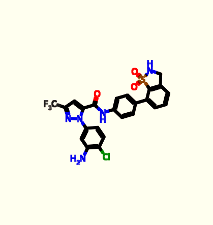 Nc1cc(-n2nc(C(F)(F)F)cc2C(=O)Nc2ccc(-c3cccc4c3S(=O)(=O)NC4)cc2)ccc1Cl